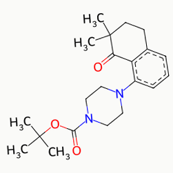 CC(C)(C)OC(=O)N1CCN(c2cccc3c2C(=O)C(C)(C)CC3)CC1